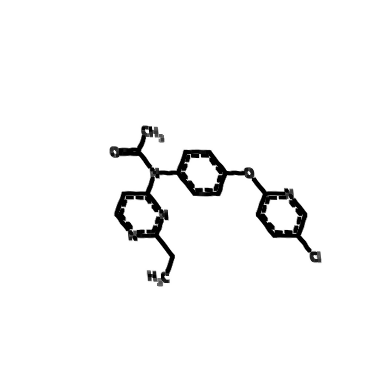 CCc1nccc(N(C(C)=O)c2ccc(Oc3ccc(Cl)cn3)cc2)n1